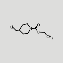 CCOC(=O)N1CCC(CCl)CC1